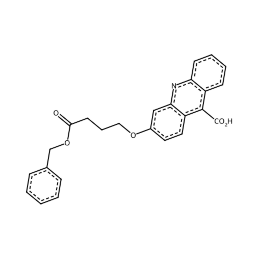 O=C(CCCOc1ccc2c(C(=O)O)c3ccccc3nc2c1)OCc1ccccc1